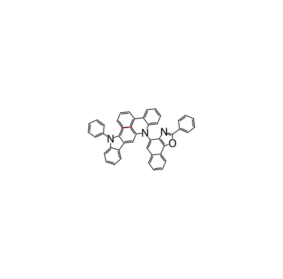 c1ccc(-c2nc3c(N(c4ccc5c(c4)c4ccccc4n5-c4ccccc4)c4ccccc4-c4ccccc4)cc4ccccc4c3o2)cc1